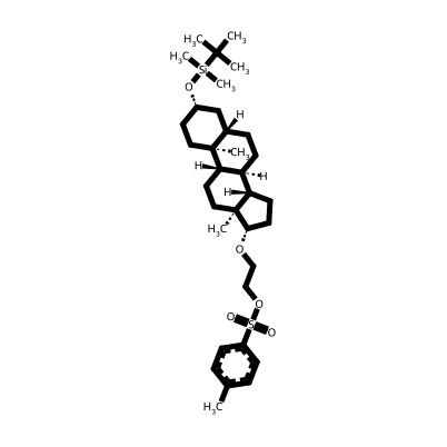 Cc1ccc(S(=O)(=O)OCCO[C@H]2CC[C@H]3[C@@H]4CC[C@H]5C[C@@H](O[Si](C)(C)C(C)(C)C)CC[C@]5(C)[C@H]4CC[C@]23C)cc1